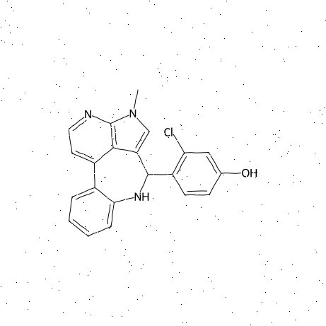 Cn1cc2c3c(ccnc31)-c1ccccc1NC2c1ccc(O)cc1Cl